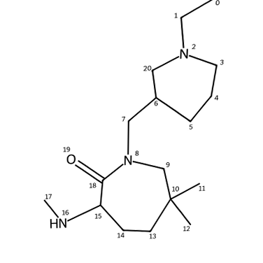 CCN1CCCC(CN2CC(C)(C)CCC(NC)C2=O)C1